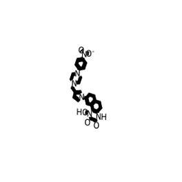 O=c1[nH]c2c(n(O)c1=O)C1=C(CCC(n3ccc(CN4CCN(c5ccc([N+](=O)[O-])cc5)CC4)c3)=C1)CC2